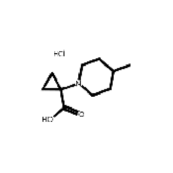 CC1CCN(C2(C(=O)O)CC2)CC1.Cl